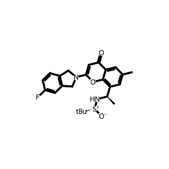 Cc1cc([C@@H](C)N[S@+]([O-])C(C)(C)C)c2oc(N3Cc4ccc(F)cc4C3)cc(=O)c2c1